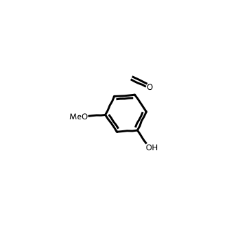 C=O.COc1cccc(O)c1